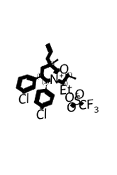 C=CC[C@@]1(C)C[C@H](c2cccc(Cl)c2)[C@@H](c2ccc(Cl)cc2)[N+]2=C1O[C@@H](C)[C@@H]2CC.O=S(=O)([O-])C(F)(F)F